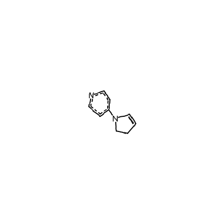 C1=CN(c2ccncc2)CC1